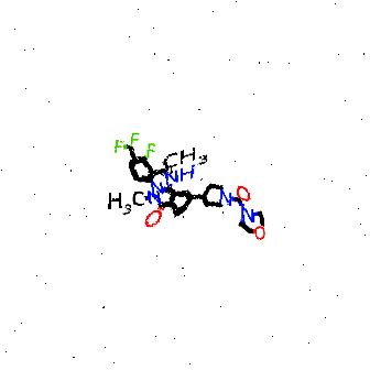 C[C@@H](Nc1nn(C)c(=O)c2ccc(C3CCN(C(=O)N4CCOCC4)CC3)cc12)c1cccc(C(F)F)c1F